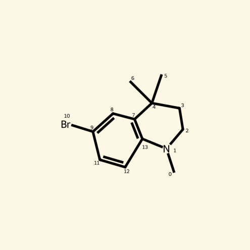 CN1CCC(C)(C)c2cc(Br)ccc21